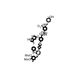 COc1cc(CN2CCN(C3CC4(C3)CN(c3ccc(C(=O)NS(=O)(=O)c5ccc(NC[C@H]6CC[C@](C)(O)CC6)c([N+](=O)[O-])c5)c(Oc5cnc6[nH]cc(F)c6c5)c3)C4)[C@H](c3ccccc3C(C)C)C2)cc(C)c1OC